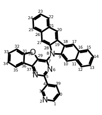 c1cncc(-c2nc(-n3c4cc5ccccc5cc4c4cc5ccccc5cc43)c3oc4ccccc4c3n2)c1